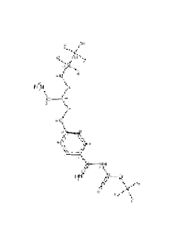 CC(C)(C)OC(=O)NC(=N)c1ccc(OCC(CO[Si](C)(C)C(C)(C)C)ON)cc1